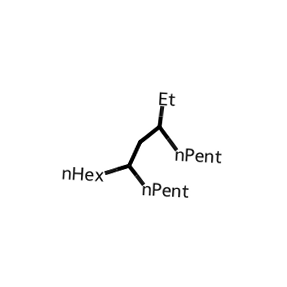 CCCCCCC(CCCCC)CC(CC)CCCCC